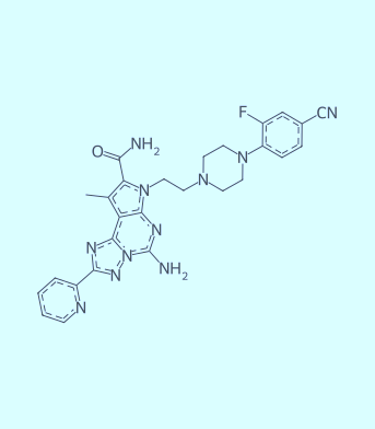 Cc1c(C(N)=O)n(CCN2CCN(c3ccc(C#N)cc3F)CC2)c2nc(N)n3nc(-c4ccccn4)nc3c12